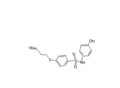 CCCCCCCCCCCCSc1ccc(S(=O)(=O)Nc2ccc(O)cc2)cc1